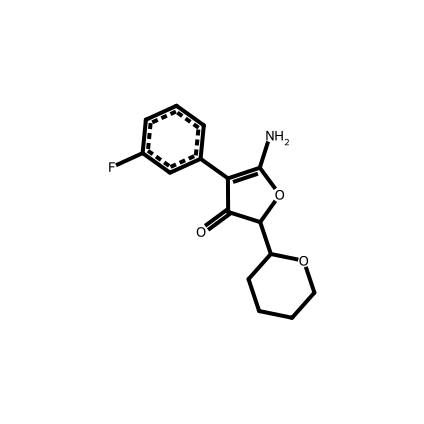 NC1=C(c2cccc(F)c2)C(=O)C(C2CCCCO2)O1